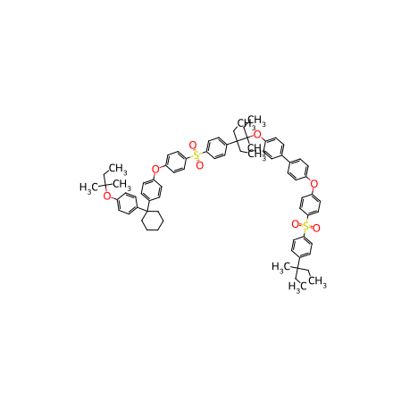 CCC(C)(C)Oc1ccc(C2(c3ccc(Oc4ccc(S(=O)(=O)c5ccc(C(CC)(CC)C(C)(CC)Oc6ccc(-c7ccc(Oc8ccc(S(=O)(=O)c9ccc(C(C)(CC)CC)cc9)cc8)cc7)cc6)cc5)cc4)cc3)CCCCC2)cc1